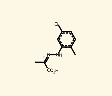 C/C(=N/Nc1cc(Cl)ccc1C)C(=O)O